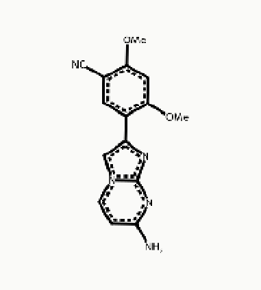 COc1cc(OC)c(-c2cn3ccc(N)nc3n2)cc1C#N